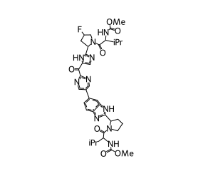 COC(=O)NC(C(=O)N1CC(F)CC1c1ncc(C(=O)c2ncc(-c3ccc4nc(C5CCCN5C(=O)C(NC(=O)OC)C(C)C)[nH]c4c3)cn2)[nH]1)C(C)C